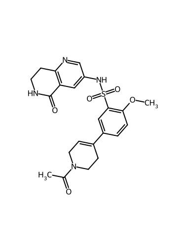 COc1ccc(C2=CCN(C(C)=O)CC2)cc1S(=O)(=O)Nc1cnc2c(c1)C(=O)NCC2